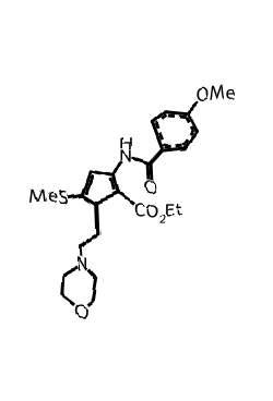 CCOC(=O)C1=C(NC(=O)c2ccc(OC)cc2)C=C(SC)C1CCN1CCOCC1